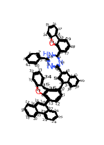 c1ccc(C2=NC(c3cc(-c4ccc(-c5cc6ccccc6c6ccccc56)c5oc6ccccc6c45)c4ccccc4c3)=NC(c3cccc4c3oc3ccccc34)N2)cc1